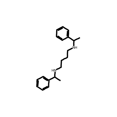 CC(NCCCCNC(C)c1ccccc1)c1ccccc1